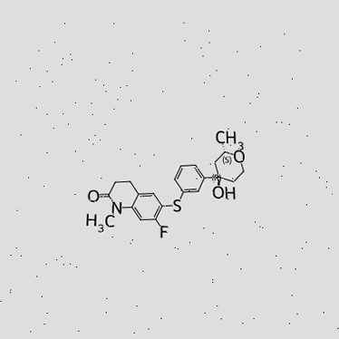 C[C@H]1C[C@@](O)(c2cccc(Sc3cc4c(cc3F)N(C)C(=O)CC4)c2)CCO1